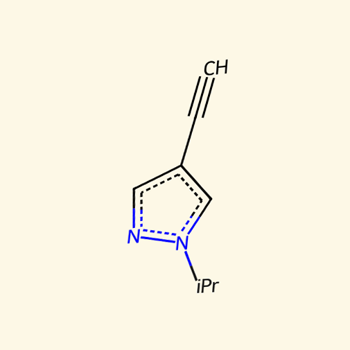 C#Cc1cnn(C(C)C)c1